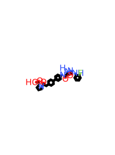 O=C(Nc1ccc(C2CCC(CC(=O)N3CCC[C@@H]3C(=O)O)CC2)cc1)c1nnc(Nc2ccccc2F)o1